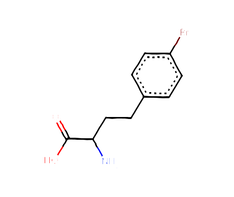 NC(CCc1ccc(Br)cc1)C(=O)O